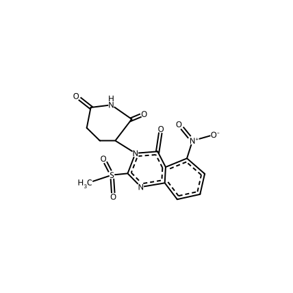 CS(=O)(=O)c1nc2cccc([N+](=O)[O-])c2c(=O)n1C1CCC(=O)NC1=O